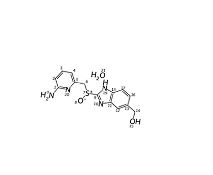 Nc1cccc(C[S+]([O-])c2nc3cc(CO)ccc3[nH]2)n1.O